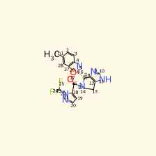 Cc1ccc2nc([C@@H]3c4nc[nH]c4CCN3C(=O)c3ccnn3C(F)F)oc2c1